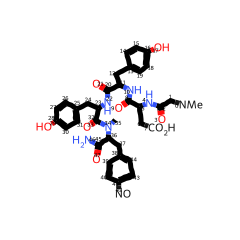 CNCC(=O)NC(CC(=O)O)C(=O)NC(Cc1ccc(O)cc1)C(=O)NC(Cc1ccc(O)cc1)C(=O)N(C)C(Cc1ccc(N=O)cc1)C(N)=O